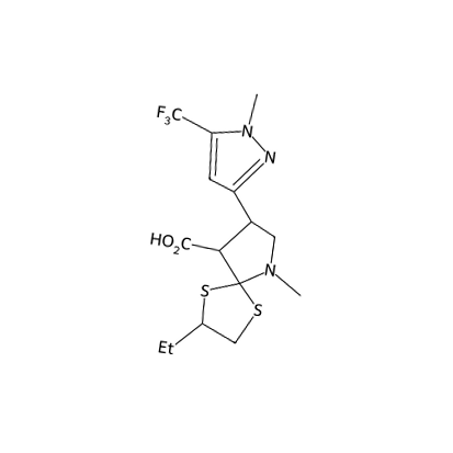 CCC1CSC2(S1)C(C(=O)O)C(c1cc(C(F)(F)F)n(C)n1)CN2C